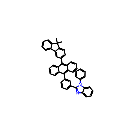 CC1(C)c2ccccc2-c2cc(-c3c4ccccc4c(-c4cccc(-c5nc6ccccc6n5-c5ccccc5)c4)c4ccccc34)ccc21